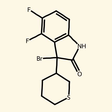 O=C1Nc2ccc(F)c(F)c2C1(Br)C1CCCSC1